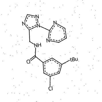 CC(C)(C)c1cc(Cl)cc(C(=O)NCc2ncnn2-c2ncccn2)c1